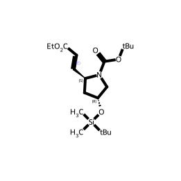 CCOC(=O)/C=C/[C@@H]1C[C@@H](O[Si](C)(C)C(C)(C)C)CN1C(=O)OC(C)(C)C